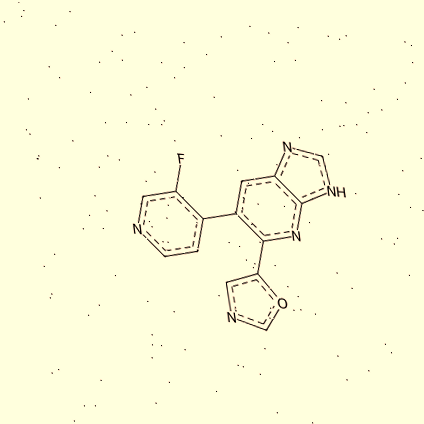 Fc1cnccc1-c1cc2nc[nH]c2nc1-c1cnco1